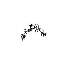 CC1(C)CC(NC(=O)OCC(F)(F)C(F)(F)F)CC(C)(CNC(=O)OCC(F)(F)C(F)(F)F)C1